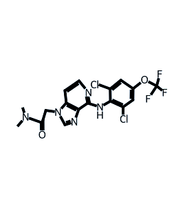 CN(C)C(=O)Cn1cnc2c(Nc3c(Cl)cc(OC(F)(F)F)cc3Cl)nccc21